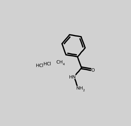 C.Cl.Cl.NNC(=O)c1ccccc1